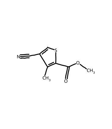 COC(=O)c1s[c]c(C#N)c1C